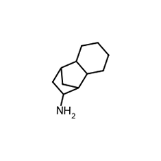 NC1CC2CC1C1CCCCC21